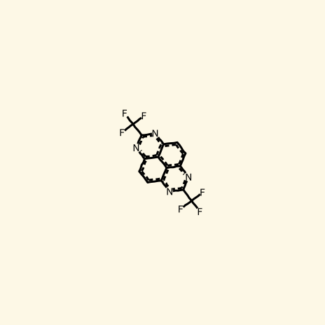 FC(F)(F)c1nc2ccc3nc(C(F)(F)F)nc4ccc(n1)c2c34